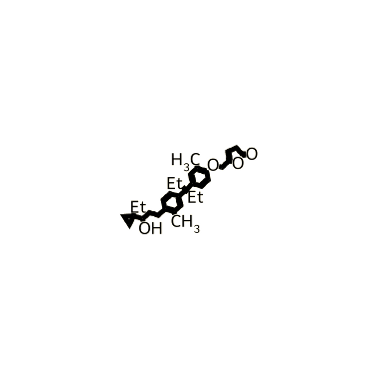 CCC(CC)(c1ccc(CCC(O)C2(CC)CC2)c(C)c1)c1ccc(OCC2=CCC(=O)O2)c(C)c1